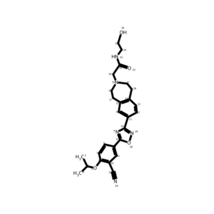 CC(C)Oc1ccc(-c2nc(-c3ccc4c(c3)CCN(CC(=O)NCCO)CC4)no2)cc1C#N